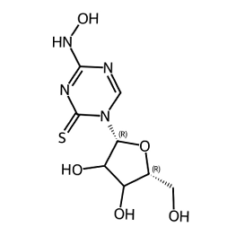 OC[C@H]1O[C@@H](n2cnc(NO)nc2=S)C(O)C1O